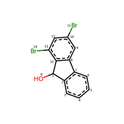 OC1c2ccccc2-c2cc(Br)cc(Br)c21